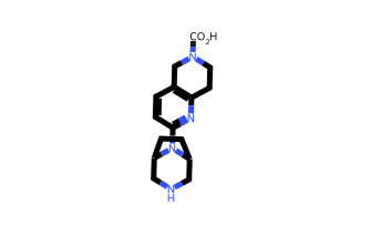 O=C(O)N1CCc2nc(N3C4CCC3CNC4)ccc2C1